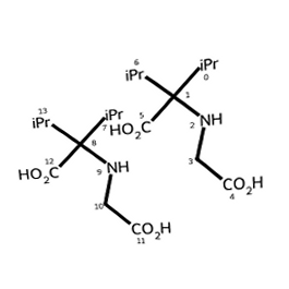 CC(C)C(NCC(=O)O)(C(=O)O)C(C)C.CC(C)C(NCC(=O)O)(C(=O)O)C(C)C